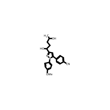 COc1ccc(-n2nc(C(O)CCC(C)O)cc2-c2ccc(C#N)cc2)cc1